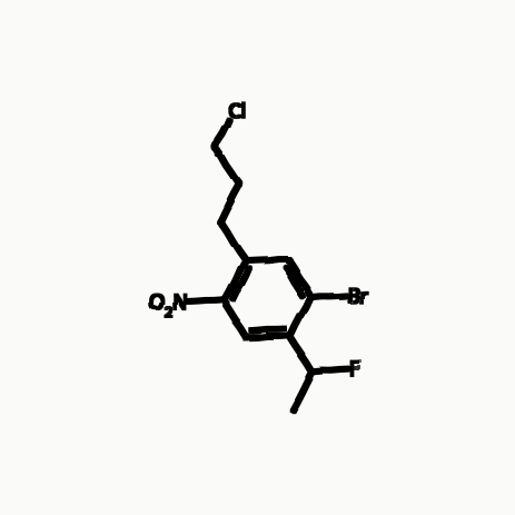 CC(F)c1cc([N+](=O)[O-])c(CCCCl)cc1Br